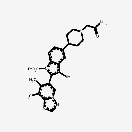 CCOC(=O)n1c(-c2cn3ncnc3c(C)c2C)c(C(C)C)c2cc(C3CCN(CC(N)=O)CC3)ccc21